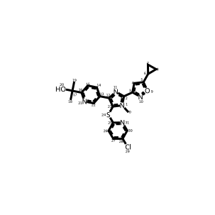 Cn1c(-c2cc(C3CC3)on2)nc(-c2ccc(C(C)(C)O)nc2)c1Sc1ccc(Cl)cn1